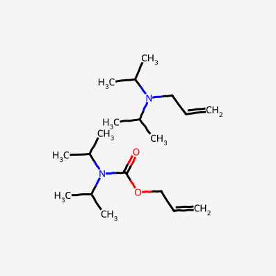 C=CCN(C(C)C)C(C)C.C=CCOC(=O)N(C(C)C)C(C)C